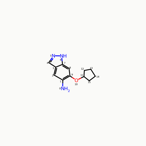 Nc1cc2cn[nH]c2cc1OC1CCCC1